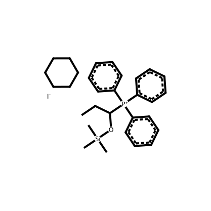 C1CCCCC1.CCC(O[Si](C)(C)C)[P+](c1ccccc1)(c1ccccc1)c1ccccc1.[I-]